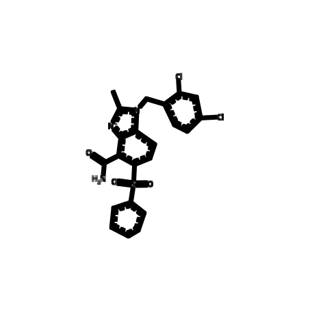 Cc1nc2c(C(N)=O)c(S(=O)(=O)c3ccccc3)ccc2n1Cc1ccc(Cl)cc1Cl